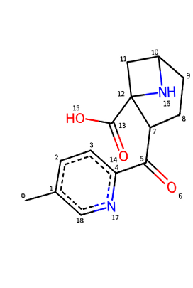 Cc1ccc(C(=O)C2CCC3CC2(C(=O)O)N3)nc1